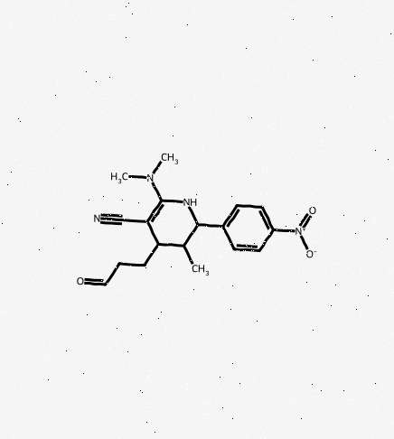 CC1C(CCC=O)C(C#N)=C(N(C)C)NC1c1ccc([N+](=O)[O-])cc1